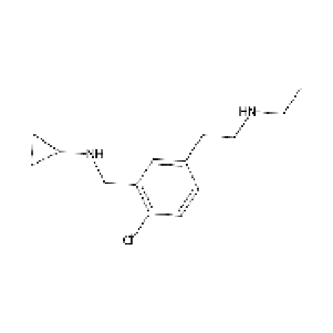 CCNCCc1ccc(Cl)c(CNC2CC2)c1